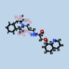 BC1(B)Cc2ccccc2C(B)(B)N1CCCNC(=O)COc1cccc2cccnc12